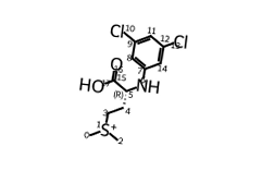 C[S+](C)CC[C@@H](Nc1cc(Cl)cc(Cl)c1)C(=O)O